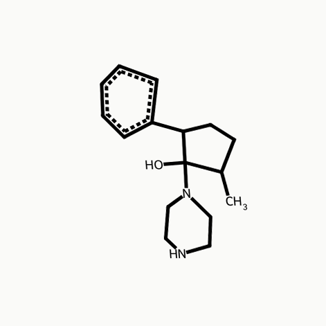 CC1CCC(c2ccccc2)C1(O)N1CCNCC1